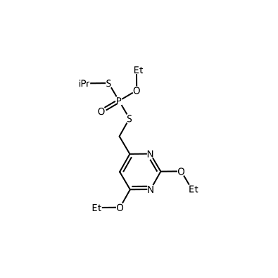 CCOc1cc(CSP(=O)(OCC)SC(C)C)nc(OCC)n1